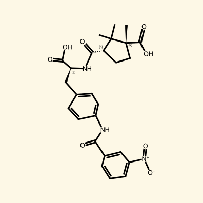 CC1(C)[C@@H](C(=O)N[C@@H](Cc2ccc(NC(=O)c3cccc([N+](=O)[O-])c3)cc2)C(=O)O)CC[C@@]1(C)C(=O)O